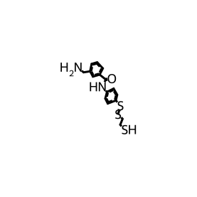 NCc1cccc(C(=O)Nc2ccc(SSCCS)cc2)c1